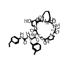 CCc1ccc(NC(=O)N[C@@H](Cc2cccc(C)c2)C(=O)N[C@H]2COC(=O)[C@@H]3CCCN3C(=O)[C@H](C)NC(=O)[C@@H]3CCCCN3C(=O)[C@@H]3C[C@@H](O)CN3C2=O)cc1